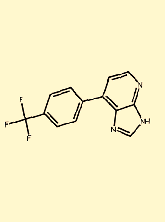 FC(F)(F)c1ccc(-c2ccnc3[nH]cnc23)cc1